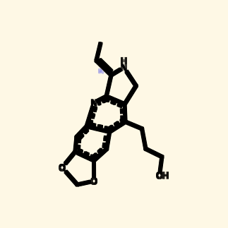 C/C=C1\NCc2c1nc1cc3c(cc1c2CCCO)OCO3